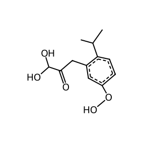 CC(C)c1ccc(OO)cc1CC(=O)C(O)O